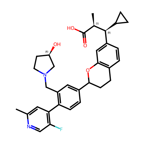 Cc1cc(-c2ccc(C3CCc4ccc([C@H](C5CC5)[C@H](C)C(=O)O)cc4O3)cc2CN2CC[C@@H](O)C2)c(F)cn1